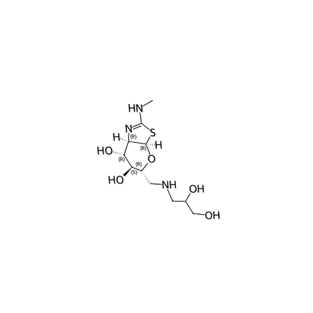 CNC1=N[C@@H]2[C@@H](O)[C@H](O)[C@@H](CNCC(O)CO)O[C@@H]2S1